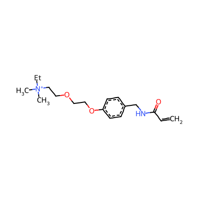 C=CC(=O)NCc1ccc(OCCOCC[N+](C)(C)CC)cc1